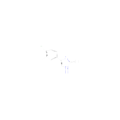 CCc1nc(-c2ccc(F)c(C)c2)c[nH]1